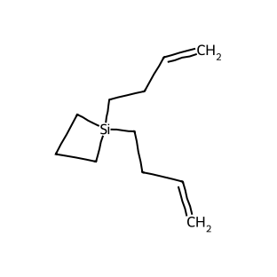 C=CCC[Si]1(CCC=C)CCC1